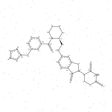 O=C1CCC(N2Cc3cc(OC[C@@H]4CCCCN4C(=O)c4cccc(Cn5cncn5)c4)ccc3C2=O)C(=O)N1